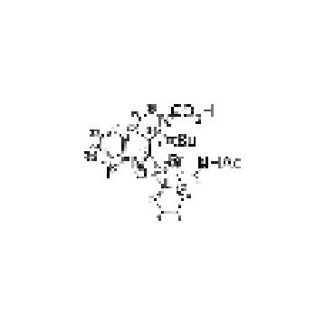 CC(=O)NCCc1ccccc1-c1onc([C@@H]2C(C(C)(C)C)N(C(=O)O)CC[C@H]2c2ccc(F)c(F)c2)c1Br